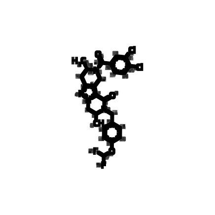 CC1Cn2nc3c(c2C(=O)N1Cc1ccc(OC(F)F)cc1)CN(C(=O)c1ccc(Cl)c(Cl)c1)[C@H](C)C3